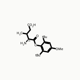 COc1cc(C(C)(C)C)c(OC(=O)[C@@H](N)C(C)CC(=O)O)c(C(C)(C)C)c1